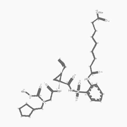 C=C[C@@H]1C[C@]1(NC(=O)CN(CC1CCCC1)C(=O)OC(C)(C)C)C(=O)NS(=O)(=O)c1ccccc1NC(=O)CCCCCCCC(=O)OC